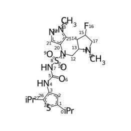 CC(C)c1cc(NC(=O)NS(=O)(=O)N(CC2CC(F)CN2C)c2cnn(C)c2)c(C(C)C)s1